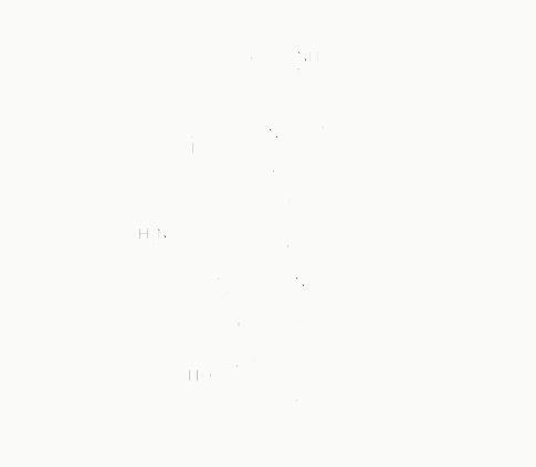 CC1Cc2c(N3CCNCC3)c(F)c(N)c3c(=O)c(C(=O)O)cn1c23